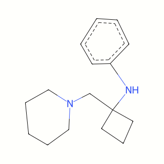 c1ccc(NC2(CN3CCCCC3)CCC2)cc1